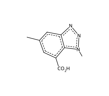 Cc1cc(C(=O)O)c2c(c1)nnn2C